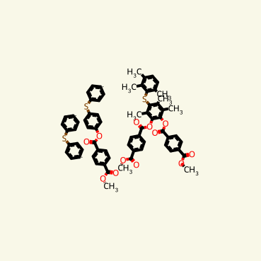 COC(=O)c1ccc(C(=O)Oc2c(C)c(C)c(Sc3c(C)ccc(C)c3C)c(C)c2OC(=O)c2ccc(C(=O)OC)cc2)cc1.COC(=O)c1ccc(C(=O)Oc2ccc(Sc3cc[c]cc3)cc2)cc1.[c]1ccc(Sc2cc[c]cc2)cc1